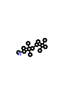 c1ccc(-c2c3c(c(-c4ccccc4)c4ccccc24)-c2cc(-c4ccc5c(-c6ccccc6)c6c(c(-c7ccccc7)c5c4)-c4cccc5c(-c7ccccn7)ccc-6c45)cc4cccc-3c24)cc1